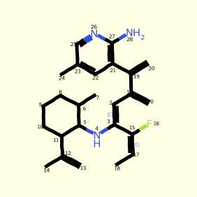 C=C(/C=C(NC1C(C)CCCC1C(=C)C)\C(F)=C/C)C(=C)c1cc(C)cnc1N